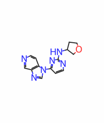 c1cc2c(cn1)ncn2-c1ccnc(NC2CCOC2)n1